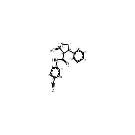 N#Cc1ccc(NC(=O)C2C(=O)NCC2c2ccccc2)cc1